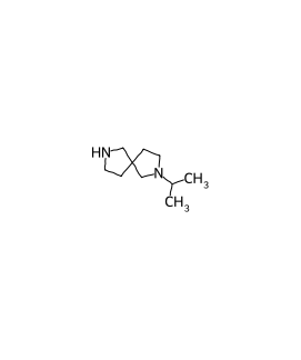 CC(C)N1CCC2(CCNC2)C1